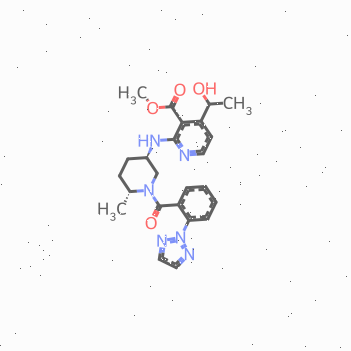 COC(=O)c1c(C(C)O)ccnc1N[C@@H]1CC[C@@H](C)N(C(=O)c2ccccc2-n2nccn2)C1